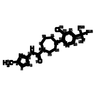 Cc1csc(NC(=O)N2CCCN(c3ncc(C(F)(F)F)cc3Cl)CC2)n1